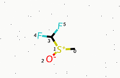 C[S+]([O-])C(F)F